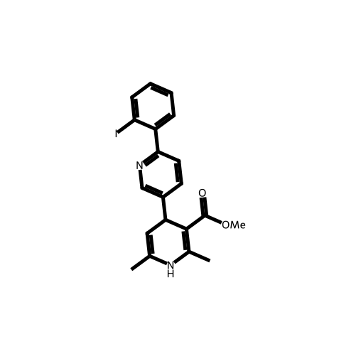 COC(=O)C1=C(C)NC(C)=CC1c1ccc(-c2ccccc2I)nc1